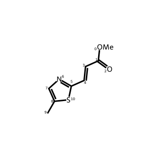 COC(=O)/C=C/c1ncc(C)s1